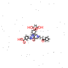 O=C(O)/C=C\C(=O)O.O=C(O)c1cccc(CN2CN(C3CCCCC3)C3(CCN(CCCC(=O)c4ccccc4)CC3)C2=O)c1